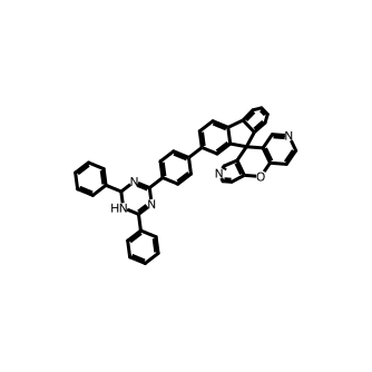 c1ccc(C2=NC(c3ccc(-c4ccc5c(c4)C4(c6cnccc6Oc6ccncc64)c4ccccc4-5)cc3)=NC(c3ccccc3)N2)cc1